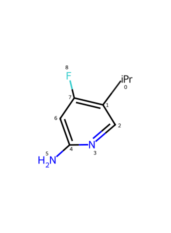 CC(C)c1cnc(N)cc1F